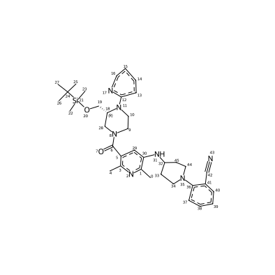 Cc1nc(C)c(C(=O)N2CCN(c3ccccn3)[C@@H](CO[Si](C)(C)C(C)(C)C)C2)cc1NC1CCN(c2ccccc2C#N)CC1